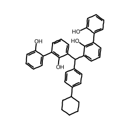 Oc1ccccc1-c1cccc(C(c2ccc(C3CCCCC3)cc2)c2cccc(-c3ccccc3O)c2O)c1O